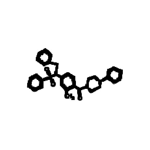 Cc1cc(N(Cc2ccccc2)S(=O)(=O)c2ccccc2)ccc1C(=O)N1CCN(c2ccccc2)CC1